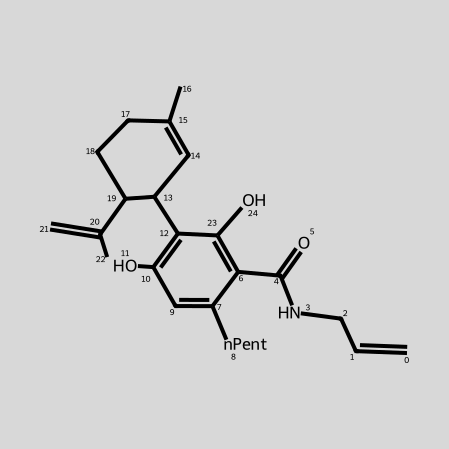 C=CCNC(=O)c1c(CCCCC)cc(O)c(C2C=C(C)CCC2C(=C)C)c1O